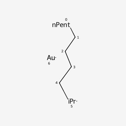 CCCCCCCCC[C](C)C.[Au]